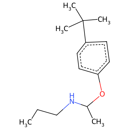 CCCNC(C)Oc1ccc(C(C)(C)C)cc1